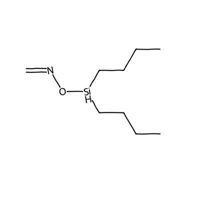 C=NO[SiH](CCCC)CCCC